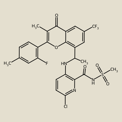 Cc1ccc(-c2oc3c(C(C)Nc4ccc(Cl)nc4C(=O)NS(C)(=O)=O)cc(C(F)(F)F)cc3c(=O)c2C)c(F)c1